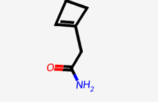 NC(=O)CC1=CCC1